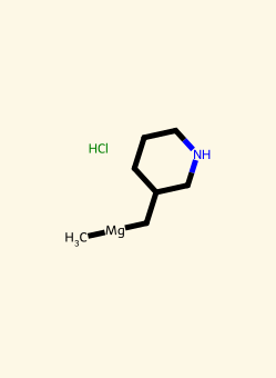 Cl.[CH3][Mg][CH2]C1CCCNC1